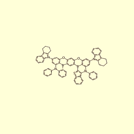 c1ccc(N2c3ccccc3B3c4cc5c(cc4Oc4cc(-n6c7c(c8ccccc86)CCCC7)cc2c43)Oc2cc(-n3c4c(c6ccccc63)CCCC4)cc3c2B5c2sc4ccccc4c2N3c2ccccc2)cc1